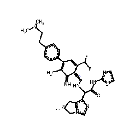 CC1=C(c2ccc(CCN(C)C)cc2)C=C(C(F)F)/C(=C/NC(C(=O)Nc2nccs2)c2ncn3c2C[C@@H](F)C3)C1=N